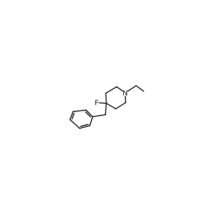 CCN1CCC(F)(Cc2ccccc2)CC1